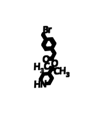 CC(C)(OC(=O)Cc1ccc(CBr)cc1)C1CCNCC1